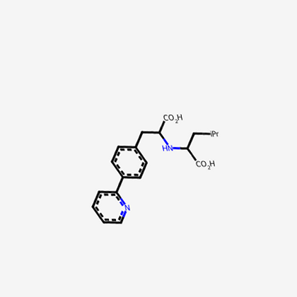 CC(C)CC(NC(Cc1ccc(-c2ccccn2)cc1)C(=O)O)C(=O)O